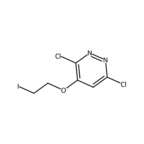 Clc1cc(OCCI)c(Cl)nn1